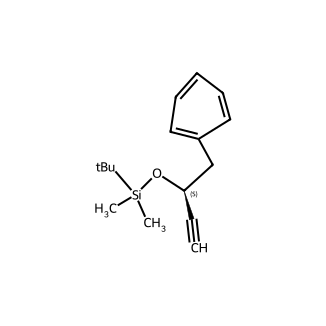 C#C[C@H](Cc1ccccc1)O[Si](C)(C)C(C)(C)C